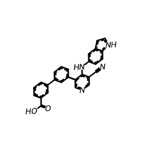 N#Cc1cncc(-c2cccc(-c3cccc(C(=O)O)c3)c2)c1Nc1ccc2[nH]ccc2c1